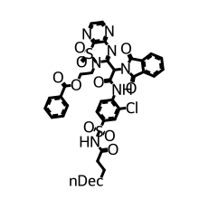 CCCCCCCCCCCCC(=O)NS(=O)(=O)c1ccc(NC(=O)C(C2=Nc3nccnc3S(=O)(=O)N2CCOC(=O)c2ccccc2)N2C(=O)c3ccccc3C2=O)c(Cl)c1